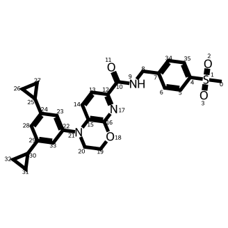 CS(=O)(=O)c1ccc(CNC(=O)c2ccc3c(n2)OCCN3c2cc(C3CC3)cc(C3CC3)c2)cc1